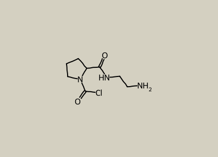 NCCNC(=O)C1CCCN1C(=O)Cl